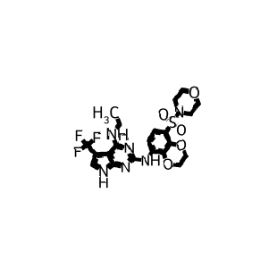 CCNc1nc(Nc2ccc(S(=O)(=O)N3CCOCC3)c3c2OCCO3)nc2[nH]cc(C(F)(F)F)c12